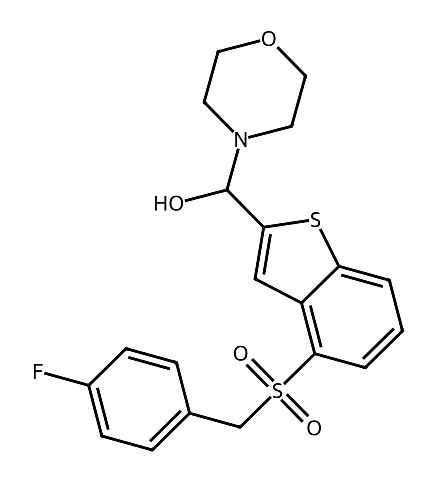 O=S(=O)(Cc1ccc(F)cc1)c1cccc2sc(C(O)N3CCOCC3)cc12